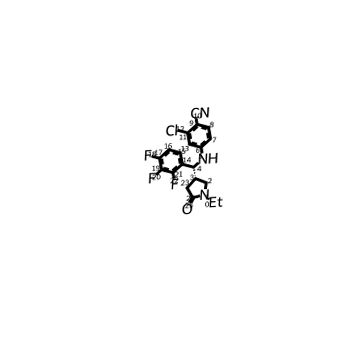 CCN1C[C@@H](C(Nc2ccc(C#N)c(Cl)c2)c2ccc(F)c(F)c2F)CC1=O